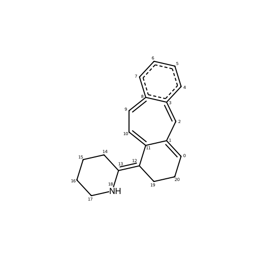 C1=C2C=c3ccccc3=CC=C2C(=C2CCCCN2)CC1